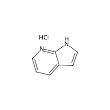 Cl.c1cnc2[nH]ccc2c1